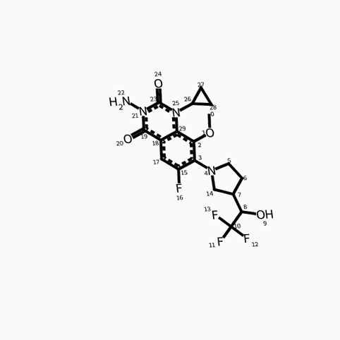 COc1c(N2CCC(C(O)C(F)(F)F)C2)c(F)cc2c(=O)n(N)c(=O)n(C3CC3)c12